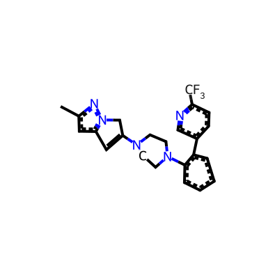 Cc1cc2n(n1)CC(N1CCN(c3ccccc3-c3ccc(C(F)(F)F)nc3)CC1)=C2